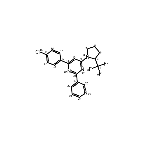 FC(F)(F)C1CCCN1c1cc(-c2ccc(Cl)cc2)nc(-c2cccnc2)n1